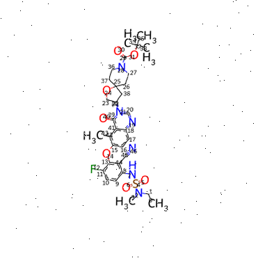 CCN(C)S(=O)(=O)Nc1ccc(F)c(Oc2ccc3ncn([C@H]4COC5(CCN(C(=O)OC(C)(C)C)CC5)C4)c(=O)c3c2C)c1C#N